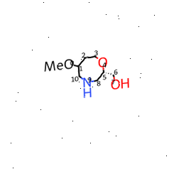 COC1CCO[C@H](CO)CNC1